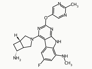 CNc1cc(F)cc2c1[nH]c1nc(Oc3cnc(C)nc3)nc(N3CC4[C@H](C[C@H]4N)C3)c12